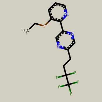 CCSc1cccnc1-c1cnc(CCC(F)(F)C(F)(F)F)cn1